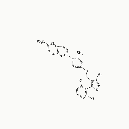 Cc1cc(OCc2c(-c3c(Cl)cccc3Cl)noc2C(C)C)ccc1-c1ccc2nc(C(=O)O)ccc2c1